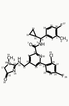 Cc1cc(C(NC(=O)c2cc(CNC3=NC(=O)CN3C)cc(-c3ccc(F)cc3Cl)n2)C2CC2)ccc1F